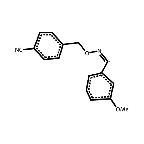 COc1cccc(/[C]=N\OCc2ccc(C#N)cc2)c1